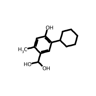 Cc1cc(O)c(C2CCCCC2)cc1C(O)O